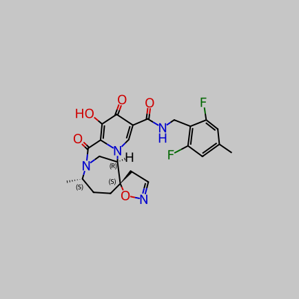 Cc1cc(F)c(CNC(=O)c2cn3c(c(O)c2=O)C(=O)N2C[C@@H]3[C@@]3(CC=NO3)CC[C@@H]2C)c(F)c1